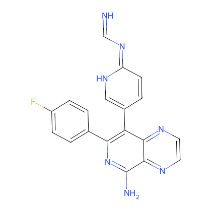 N=C/N=c1/ccc(-c2c(-c3ccc(F)cc3)nc(N)c3nccnc23)c[nH]1